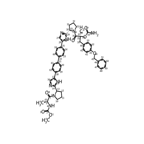 COC(=O)N[C@@H](C)C(=O)N1CCCC1c1ncc(-c2ccc(-c3ccc(-c4cnc([C@@H]5CCCN5C(=O)[C@](C)(Cc5ccc(OCc6ccccc6)cc5)OC(N)=O)[nH]4)cc3)cc2)[nH]1